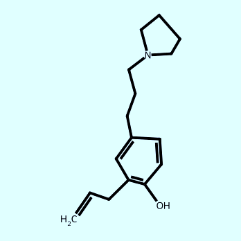 C=CCc1cc(CCCN2CCCC2)ccc1O